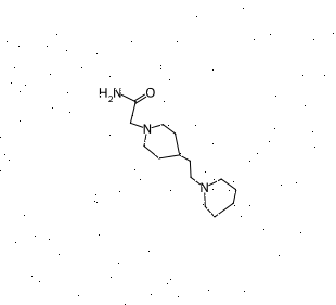 NC(=O)CN1CCC(CCN2CCCCC2)CC1